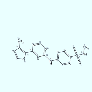 CNS(=O)(=O)c1ccc(Nc2nccc(-c3sccc3C)n2)cc1